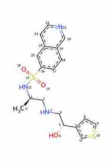 C[C@H](CNC[C@@H](O)c1ccsc1)NS(=O)(=O)c1ccc2cnccc2c1